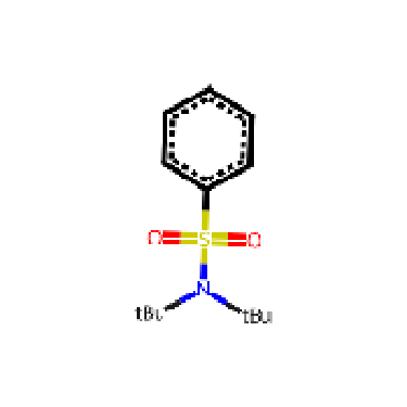 CC(C)(C)N(C(C)(C)C)S(=O)(=O)c1cc[c]cc1